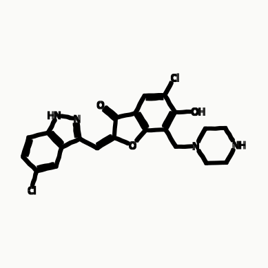 O=C1C(=Cc2n[nH]c3ccc(Cl)cc23)Oc2c1cc(Cl)c(O)c2CN1CCNCC1